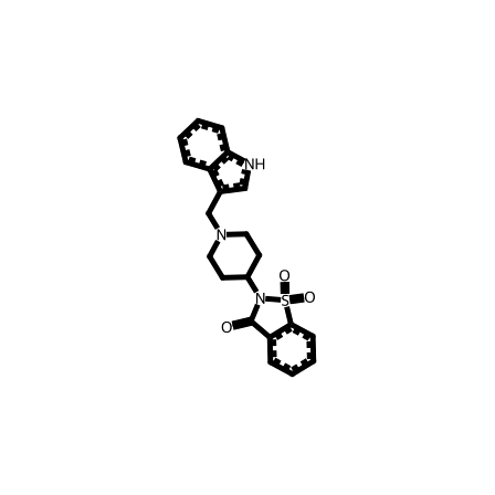 O=C1c2ccccc2S(=O)(=O)N1C1CCN(Cc2c[nH]c3ccccc23)CC1